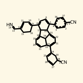 N#Cc1ccc(C2=CC=C(C3=CC=C(C=N)CC3)C3C4=CC=CC5C(C6=CC=CC(C#N)C6)=CC=C(C45)C23)cc1